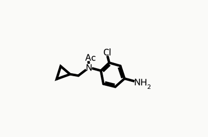 CC(=O)N(CC1CC1)c1ccc(N)cc1Cl